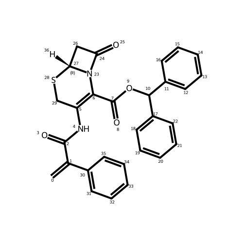 C=C(C(=O)NC1=C(C(=O)OC(c2ccccc2)c2ccccc2)N2C(=O)C[C@H]2SC1)c1ccccc1